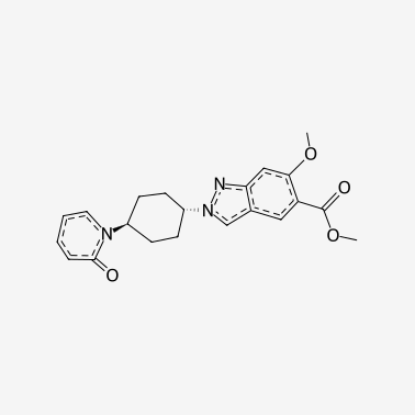 COC(=O)c1cc2cn([C@H]3CC[C@H](n4ccccc4=O)CC3)nc2cc1OC